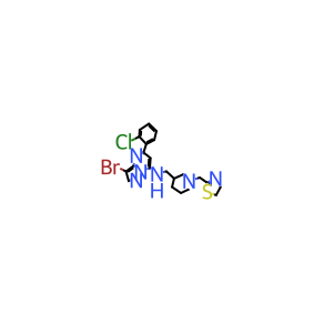 Clc1ccccc1-c1cc(NCC2CCCN(CC3=NCCS3)C2)n2ncc(Br)c2n1